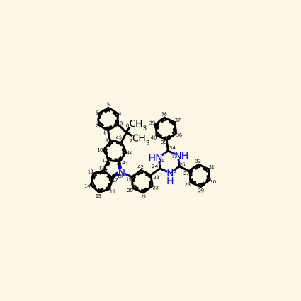 CC1(C)c2ccccc2-c2cc3c4ccccc4n(-c4cccc(C5NC(c6ccccc6)NC(c6ccccc6)N5)c4)c3cc21